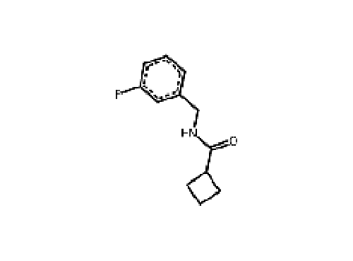 O=C(NCc1cccc(F)c1)C1CCC1